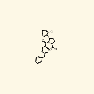 O=C(O)C1CCC(c2ccccc2Cl)N1C(=O)c1ccc(Cc2ccccc2)cc1